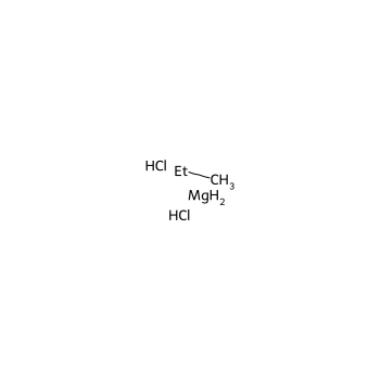 CCC.Cl.Cl.[MgH2]